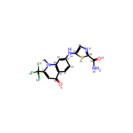 Cn1c(C(F)(F)F)cc(=O)c2ccc(Nc3cnc(C(N)=O)s3)cc21